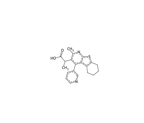 Cc1nc2sc3c(c2c(-c2cccnc2)c1C(C)C(=O)O)CCCC3